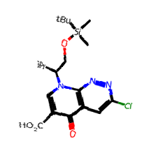 CC(C)C(CO[Si](C)(C)C(C)(C)C)n1cc(C(=O)O)c(=O)c2cc(Cl)nnc21